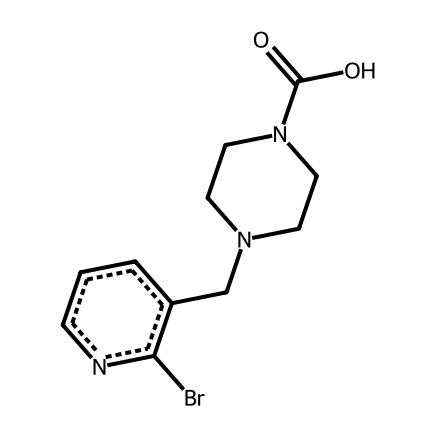 O=C(O)N1CCN(Cc2cccnc2Br)CC1